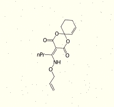 C=CCONC(CCC)=C1C(=O)OC2(C=CCCC2)OC1=O